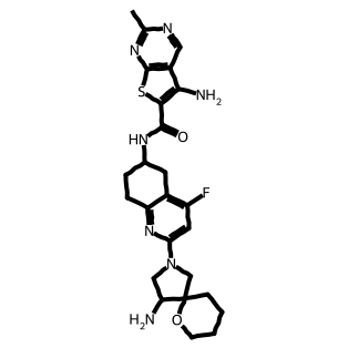 Cc1ncc2c(N)c(C(=O)NC3CCc4nc(N5CC(N)C6(CCCCO6)C5)cc(F)c4C3)sc2n1